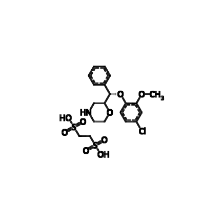 COc1cc(Cl)ccc1O[C@@H](c1ccccc1)C1CNCCO1.O=S(=O)(O)CCS(=O)(=O)O